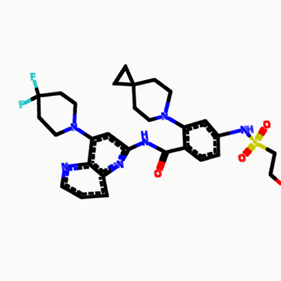 O=C(Nc1cc(N2CCC(F)(F)CC2)c2ncccc2n1)c1ccc(NS(=O)(=O)CCO)cc1N1CCC2(CC1)CC2